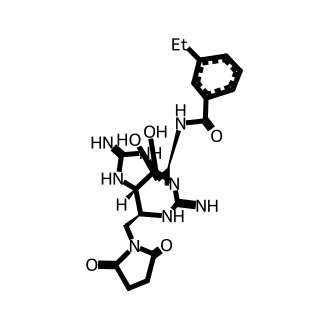 CCc1cccc(C(=O)N[C@H]2CN3C(=N)N[C@@H](CN4C(=O)CCC4=O)[C@@H]4NC(=N)N[C@@]43C2(O)O)c1